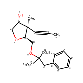 CC#C[C@]1(OC(C)=O)[C@@H](O)CO[C@@H]1COC(Cc1ccccc1)(C(=O)OCC)C(=O)OCC